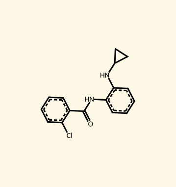 O=C(Nc1ccccc1NC1CC1)c1ccccc1Cl